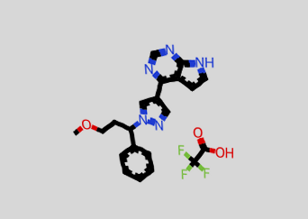 COCCC(c1ccccc1)n1cc(-c2ncnc3[nH]ccc23)cn1.O=C(O)C(F)(F)F